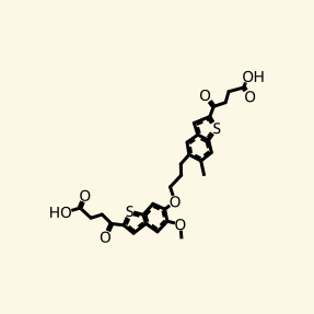 COc1cc2cc(C(=O)CCC(=O)O)sc2cc1OCCCc1cc2cc(C(=O)CCC(=O)O)sc2cc1C